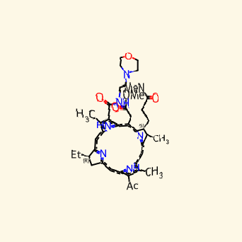 CC[C@@H]1Cc2cc3[nH]c(cc4nc(c(CC(=O)OC)c5[nH]c(cc1n2)c(C)c5C(=O)NCCN1CCOCC1)[C@@H](CCC(=O)NC)C4C)c(C)c3C(C)=O